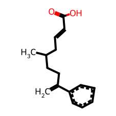 C=C(CCC(C)CC=CC(=O)O)c1ccccc1